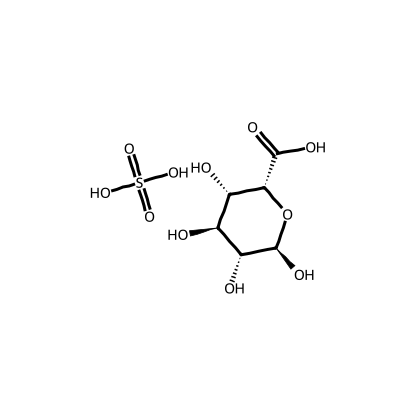 O=C(O)[C@@H]1O[C@@H](O)[C@H](O)[C@@H](O)[C@@H]1O.O=S(=O)(O)O